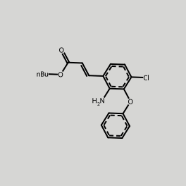 CCCCOC(=O)C=Cc1ccc(Cl)c(Oc2ccccc2)c1N